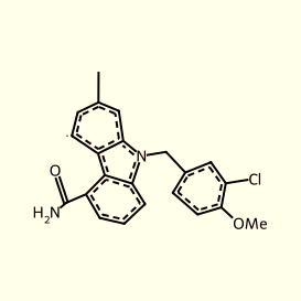 COc1ccc(Cn2c3cc(C)c[c]c3c3c(C(N)=O)cccc32)cc1Cl